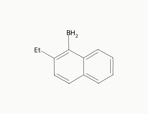 Bc1c(CC)ccc2ccccc12